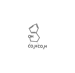 O=C(O)[C@@H](Cc1ccccc1)[C@@H](O)C(=O)O